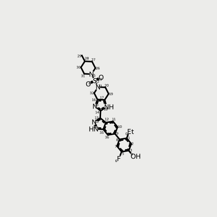 CCc1cc(O)c(F)cc1-c1ccc2c(-c3nc4c([nH]3)CCN(S(=O)(=O)N3CCC(C)CC3)C4)n[nH]c2c1